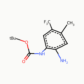 Cc1cc(N)c(NC(=O)OC(C)(C)C)cc1C(F)(F)F